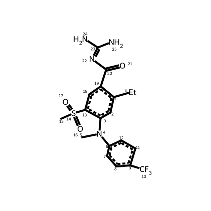 CCc1cc(N(C)c2ccc(C(F)(F)F)cc2)c(S(C)(=O)=O)cc1C(=O)N=C(N)N